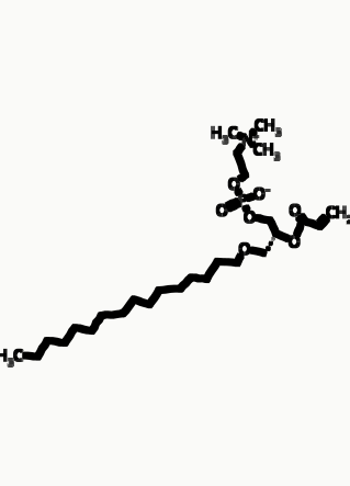 C=CC(=O)O[C@H](COCCCCCCCCCCCCCCCC)COP(=O)([O-])OCC[N+](C)(C)C